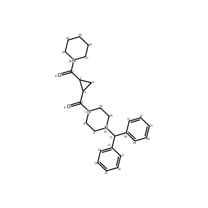 O=C(C1CC1C(=O)N1CCN(C(c2ccccc2)c2ccccc2)CC1)N1CCCCC1